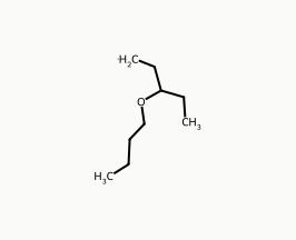 [CH2]CC(CC)OCCCC